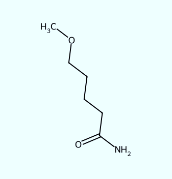 COCCCCC(N)=O